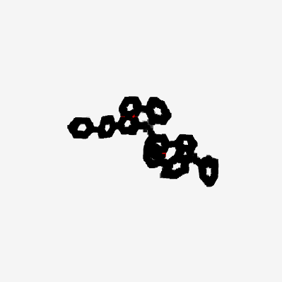 C1=CCC(C2=CCC(c3ccc(N(c4cccc(-c5cccc6c5c5c(-c7ccccc7)cccc5n6-c5ccccc5)c4)c4ccccc4-c4ccccc4)cc3)C=C2)C=C1